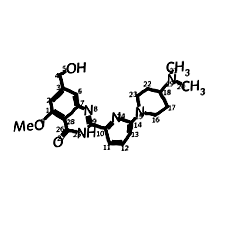 COc1cc(CO)cc2nc(-c3cccc(N4CCC(N(C)C)CC4)n3)[nH]c(=O)c12